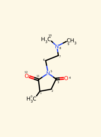 CC1CC(=O)N(CCN(C)C)C1=O